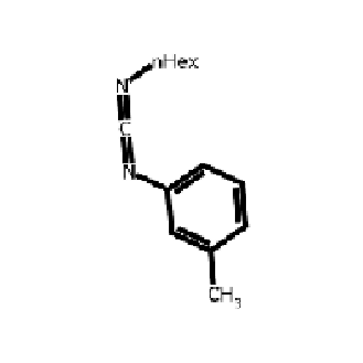 CCCCCCN=C=Nc1cccc(C)c1